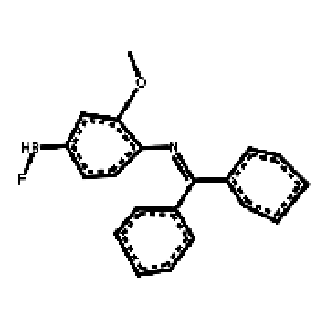 COc1cc(BF)ccc1N=C(c1ccccc1)c1ccccc1